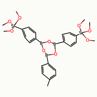 CO[Si](OC)(OC)c1ccc(B2OB(c3ccc(C)cc3)OB(c3ccc([Si](OC)(OC)OC)cc3)O2)cc1